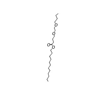 CCCCCCCCCCCCOC(=O)CCCOCCOCCCC